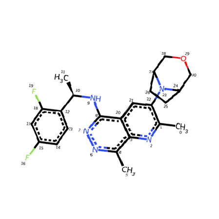 Cc1nc2c(C)nnc(N[C@H](C)c3ccc(F)cc3F)c2cc1N1C2CCC1COC2